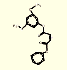 COc1cc(OC)cc(OC(=O)/C=C\C(=O)Oc2ccccc2)c1